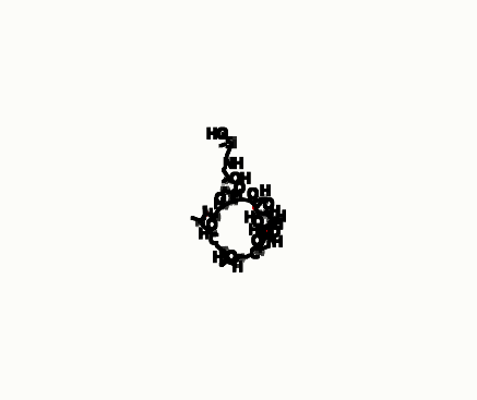 C=C1C[C@@H]2CC[C@@]34C[C@H]5O[C@@H]6[C@@H](O3)[C@H]3O[C@H](CC[C@@H]3O[C@H]6[C@H]5O4)CC(=O)C[C@@H]3[C@@H](OC)[C@@H](C[C@H](O)CNCC[Si](C)(C)O)O[C@H]3C[C@H]3O[C@@H](CC[C@@H]1O2)C[C@@H](C)C3=C